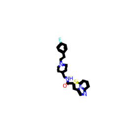 O=C(NCC1CCN(CCc2ccc(F)cc2)CC1)C1=Cc2cnc3cccc(n23)S1